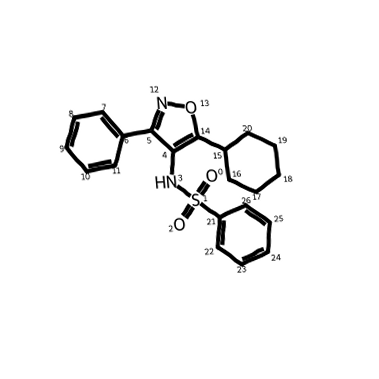 O=S(=O)(Nc1c(-c2ccccc2)noc1C1CCCCC1)c1ccccc1